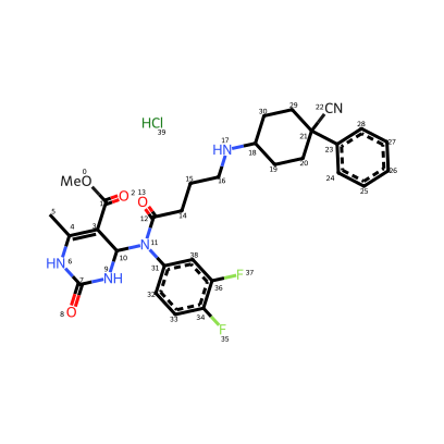 COC(=O)C1=C(C)NC(=O)NC1N(C(=O)CCCNC1CCC(C#N)(c2ccccc2)CC1)c1ccc(F)c(F)c1.Cl